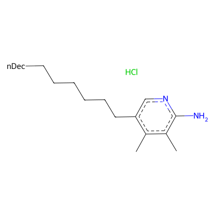 CCCCCCCCCCCCCCCCc1cnc(N)c(C)c1C.Cl